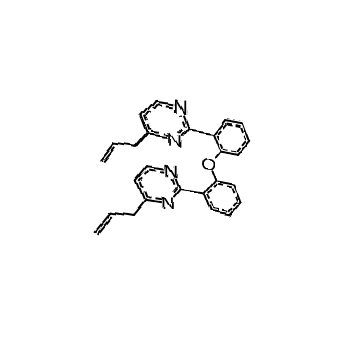 C=CCc1ccnc(-c2ccccc2Oc2ccccc2-c2nccc(CC=C)n2)n1